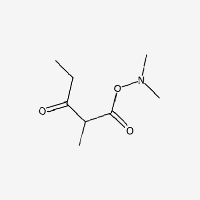 CCC(=O)C(C)C(=O)ON(C)C